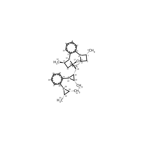 C[C@@H]1C[C@H](C)P1c1ccccc1P1[C@H](C)C[C@@]1(C)C[C@@H]1[C@H](C)P1c1ccccc1P1[C@H](C)[C@@H]1C